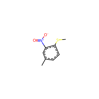 CSc1ccc(C)cc1[N+](=O)[O-]